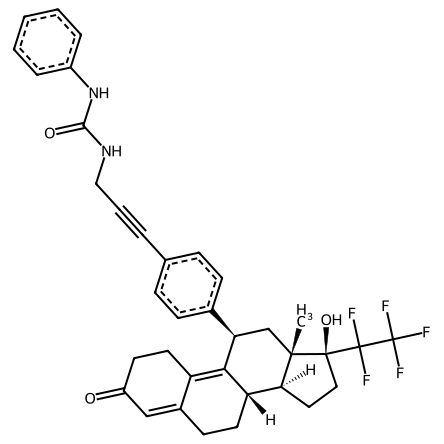 C[C@]12C[C@H](c3ccc(C#CCNC(=O)Nc4ccccc4)cc3)C3=C4CCC(=O)C=C4CC[C@H]3[C@@H]1CC[C@@]2(O)C(F)(F)C(F)(F)F